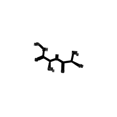 CCCNC(=O)[C@H](C)NC(=O)[C@@H](N)C(C)C